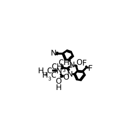 CC(c1nc2cccc(C(F)F)c2c(=O)n1-c1cccc(C#N)c1)N(C(=O)O)C(C)(C)C